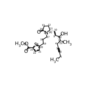 CCC#CC[C@H](C)[C@H](O)C=C[C@H]1CCC(=O)N1CCCc1ccc(C(=O)OC)s1